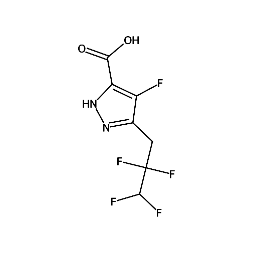 O=C(O)c1[nH]nc(CC(F)(F)C(F)F)c1F